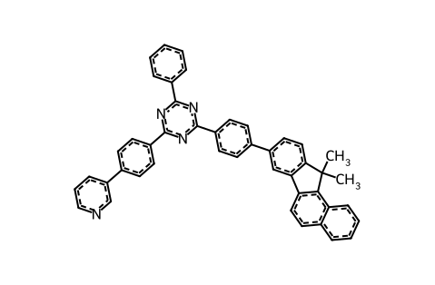 CC1(C)c2ccc(-c3ccc(-c4nc(-c5ccccc5)nc(-c5ccc(-c6cccnc6)cc5)n4)cc3)cc2-c2ccc3ccccc3c21